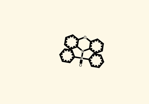 O=P(c1ccccc1)(c1ccccc1)N1c2ccccc2Oc2ccccc21